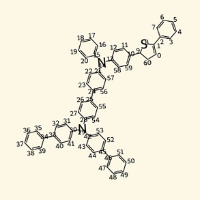 C1=C(c2ccccc2)SC(c2ccc(N(c3ccccc3)c3ccc(-c4ccc(N(c5ccc(-c6ccccc6)cc5)c5ccc(-c6ccccc6)cc5)cc4)cc3)cc2)C1